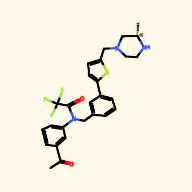 CC(=O)c1cccc(N(Cc2cccc(-c3ccc(CN4CCN[C@@H](C)C4)s3)c2)C(=O)C(F)(F)F)c1